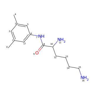 Cc1cc(C)cc(NC(=O)C(N)CCCCN)c1